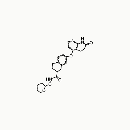 O=C1CCc2c(Oc3ccc4c(c3)C[C@@H](C(=O)NOC3CCCCO3)CC4)ccnc2N1